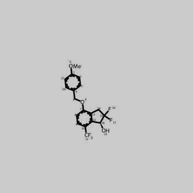 COc1ccc(COc2ccc(C(F)(F)F)c3c2CC(F)(F)[C@H]3O)cc1